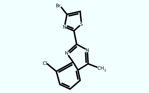 Cc1nc(-c2nc(Br)cs2)nc2c(Cl)cccc12